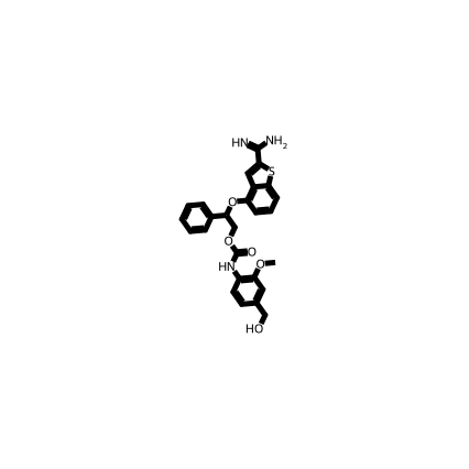 COc1cc(CO)ccc1NC(=O)OCC(Oc1cccc2sc(C(=N)N)cc12)c1ccccc1